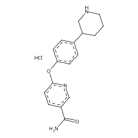 Cl.NC(=O)c1ccc(Oc2ccc(C3CCCNC3)cc2)nc1